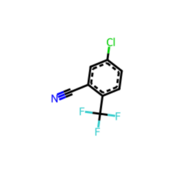 N#Cc1cc(Cl)ccc1C(F)(F)F